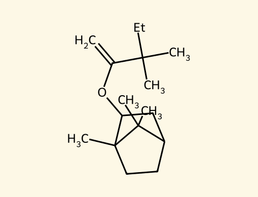 C=C(OC1CC2CCC1(C)C2(C)C)C(C)(C)CC